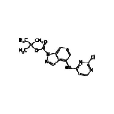 CC(C)(C)OC(=O)n1ncc2c(Nc3ccnc(Cl)n3)cccc21